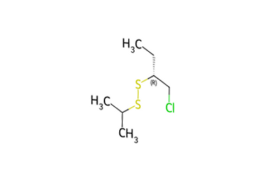 CC[C@H](CCl)SSC(C)C